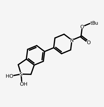 CC(C)(C)OC(=O)N1CC=C(c2ccc3c(c2)CS(O)(O)C3)CC1